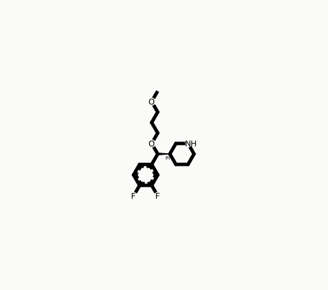 COCCCOC(c1ccc(F)c(F)c1)[C@@H]1CCCNC1